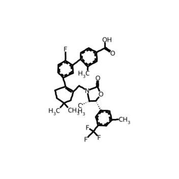 Cc1cc([C@H]2OC(=O)N(CC3=C(c4ccc(F)c(-c5ccc(C(=O)O)cc5C)c4)CCC(C)(C)C3)[C@H]2C)cc(C(F)(F)F)c1